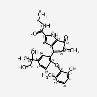 CCNC(=O)c1cc2c(-c3cc(C(C)(O)CO)ccc3Oc3c(C)cccc3Cl)cn(C)c(=O)c2[nH]1